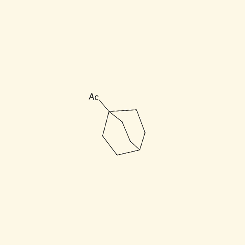 CC(=O)C12CCC(CC1)CC2